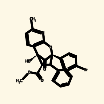 COC(=O)[C@@H]1C(c2ccccc2)[C@@]2(c3ccc(Br)cc3)Oc3nc(C)ccc3[C@@]1(O)C2=O